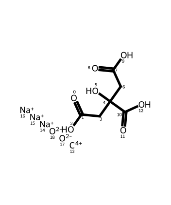 O=C(O)CC(O)(CC(=O)O)C(=O)O.[C+4].[Na+].[Na+].[Na+].[O-2].[O-2]